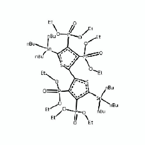 CCC[CH2][Sn]([CH2]CCC)([CH2]CCC)[c]1sc(-c2s[c]([Sn]([CH2]CCC)([CH2]CCC)[CH2]CCC)c(P(=O)(OCC)OCC)c2P(=O)(OCC)OCC)c(P(=O)(OCC)OCC)c1P(=O)(OCC)OCC